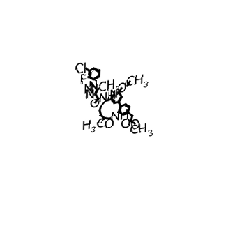 CCOc1cc2cc(n1)[C@@H](NC(=O)c1nnn(-c3cccc(Cl)c3F)c1C)CCC[C@H](C)C(=O)Nc1cc(CC(=O)OC)ccc1-2